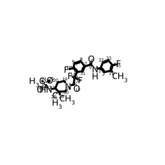 Cc1cc(NC(=O)c2ccc(F)c(C(F)(F)C(=O)N3CCC(NS(C)(=O)=O)C(C)(C)C3)c2)ccc1F